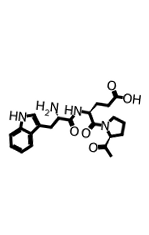 CC(=O)[C@@H]1CCCN1C(=O)[C@H](CCC(=O)O)NC(=O)[C@@H](N)Cc1c[nH]c2ccccc12